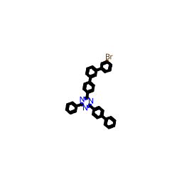 Brc1cccc(-c2cccc(-c3ccc(-c4nc(-c5ccccc5)nc(-c5ccc(-c6ccccc6)cc5)n4)cc3)c2)c1